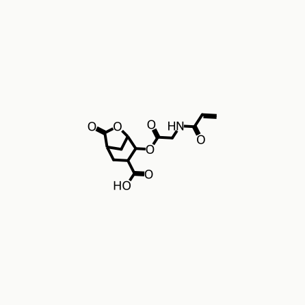 C=CC(=O)NCC(=O)OC1C2CC(CC1C(=O)O)C(=O)O2